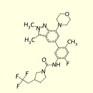 Cc1cc(F)c(NC(=O)N2CCC(CC(F)(F)F)C2)cc1-c1cc(N2CCOCC2)c2nn(C)c(C)c2c1